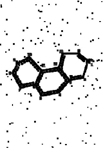 C1=[N+]C=c2ccc3ccncc3c2=C1